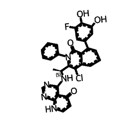 C[C@H](Nc1ncnc2[nH]ccc(=O)c12)c1c(Cl)c2cccc(-c3cc(O)c(O)c(F)c3)c2c(=O)n1-c1ccccc1